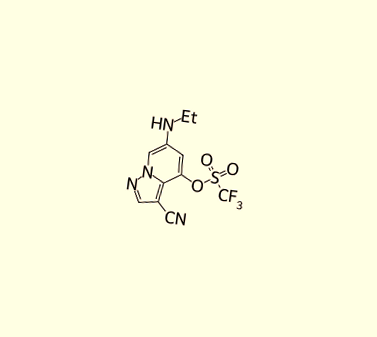 CCNc1cc(OS(=O)(=O)C(F)(F)F)c2c(C#N)cnn2c1